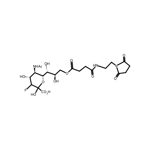 CC(=O)N[C@H]1[C@H]([C@H](O)[C@H](O)COC(=O)CCC(=O)NCCN2C(=O)CCC2=O)OC(O)(C(=O)O)C(F)[C@@H]1O